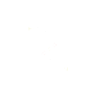 O=S(=O)(c1ccc(S)cc1)c1ccc(S)cc1